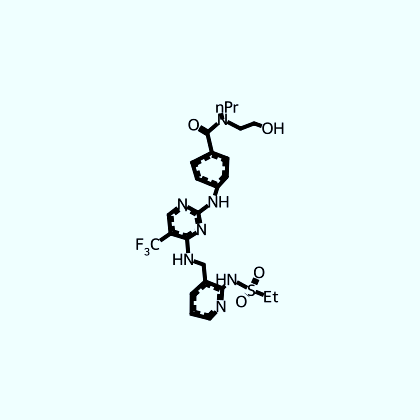 CCCN(CCO)C(=O)c1ccc(Nc2ncc(C(F)(F)F)c(NCc3cccnc3NS(=O)(=O)CC)n2)cc1